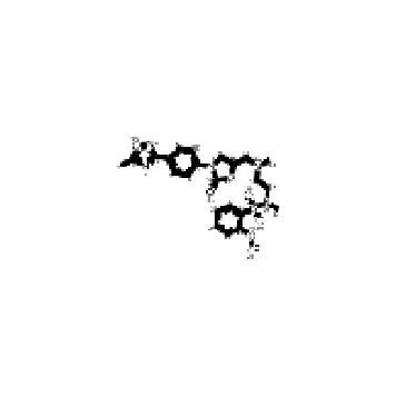 Cc1nc(-c2ccc(N3CC(CN(C)CCN(C)S(=O)(=O)c4ccccc4OC(F)(F)F)OC3=O)cc2)no1